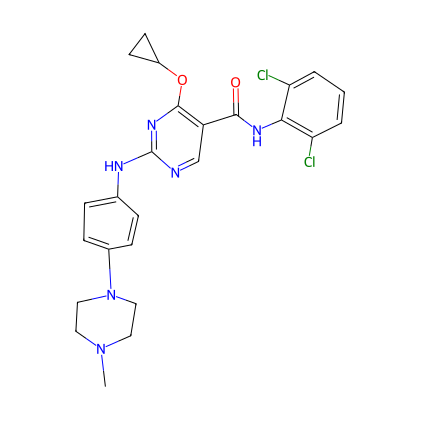 CN1CCN(c2ccc(Nc3ncc(C(=O)Nc4c(Cl)cccc4Cl)c(OC4CC4)n3)cc2)CC1